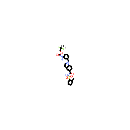 Cc1ccccc1S(=O)(=O)NC(=O)c1ccc2c(ccn2Cc2cccc(NC(=O)OCC(F)(F)C(F)(F)F)c2)c1